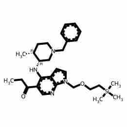 CCC(=O)c1cnc2c(ccn2COCC[Si](C)(C)C)c1N[C@H]1CN(Cc2ccccc2)CC[C@H]1C